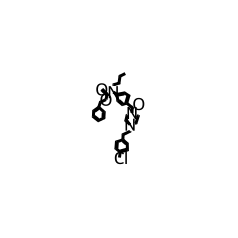 CCCCN(C(=O)OCc1ccccc1)c1ccc(C(=O)N2CCN(CCc3ccc(Cl)cc3)CC2)cc1